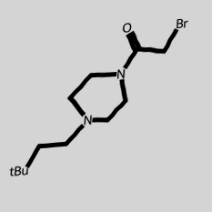 CC(C)(C)CCN1CCN(C(=O)CBr)CC1